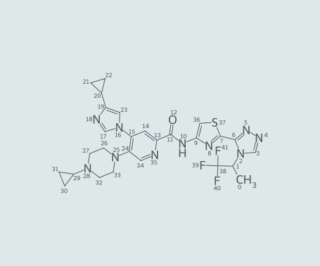 CC(n1cnnc1-c1nc(NC(=O)c2cc(-n3cnc(C4CC4)c3)c(N3CCN(C4CC4)CC3)cn2)cs1)C(F)(F)F